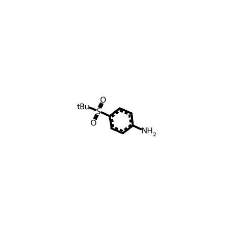 CC(C)(C)S(=O)(=O)c1ccc(N)cc1